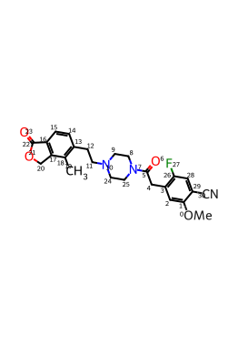 COc1cc(CC(=O)N2CCN(CCc3ccc4c(c3C)COC4=O)CC2)c(F)cc1C#N